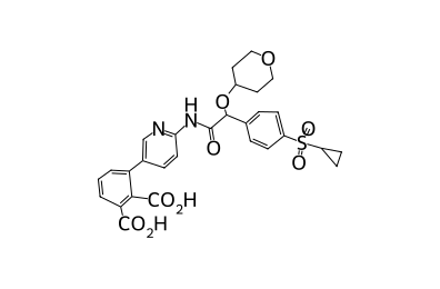 O=C(O)c1cccc(-c2ccc(NC(=O)C(OC3CCOCC3)c3ccc(S(=O)(=O)C4CC4)cc3)nc2)c1C(=O)O